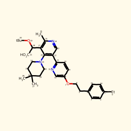 CCc1ccc(CCOc2ccc(-c3cnc(C)c(C(OC(C)(C)C)C(=O)O)c3N3CCC(C)(C)CC3)nc2)cc1